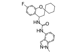 Cn1ncc2c(NC(=O)NC3CC4(CCCCC4)Oc4cc(F)ccc43)cccc21